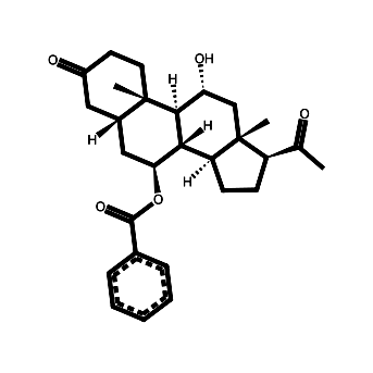 CC(=O)[C@H]1CC[C@H]2[C@H]3[C@H]([C@H](O)C[C@]12C)[C@@]1(C)CCC(=O)C[C@H]1C[C@@H]3OC(=O)c1ccccc1